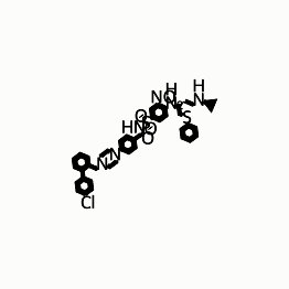 O=C(NS(=O)(=O)c1ccc(N[C@H](CCNC2CC2)CSc2ccccc2)c([N+](=O)[O-])c1)c1ccc(N2CCN(Cc3ccccc3-c3ccc(Cl)cc3)CC2)cc1